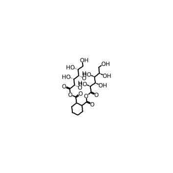 O=C(OC(=O)[C@@H](O)[C@H](O)[C@@H](O)[C@H](O)CO)C1CCCCC1C(=O)OC(=O)[C@@H](O)[C@H](O)[C@@H](O)[C@H](O)CO